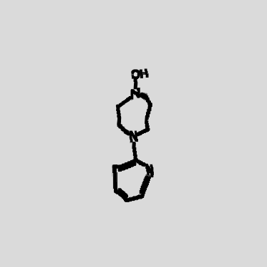 ON1CCN(c2ccccn2)CC1